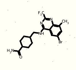 Cc1cc(Br)cc2c(NCC3CCC(C(N)=O)CC3)nc(C(F)(F)F)nc12